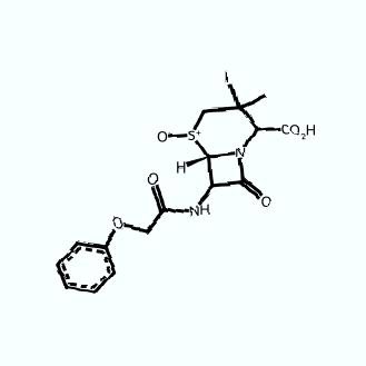 CC1(I)C[S+]([O-])[C@H]2C(NC(=O)COc3ccccc3)C(=O)N2C1C(=O)O